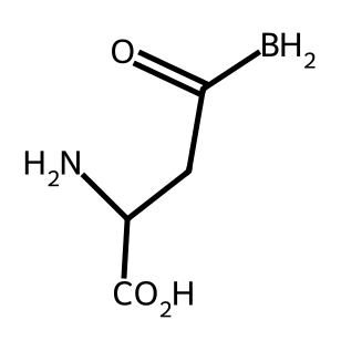 BC(=O)CC(N)C(=O)O